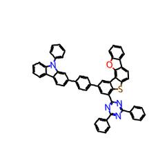 c1ccc(-c2nc(-c3ccccc3)nc(-c3cc(-c4ccc(-c5ccc6c7ccccc7n(-c7ccccc7)c6c5)cc4)cc4c3sc3ccc5c6ccccc6oc5c34)n2)cc1